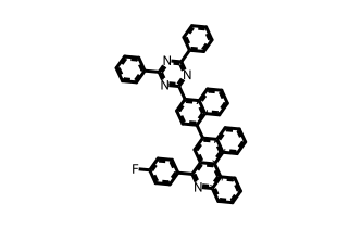 Fc1ccc(-c2nc3ccccc3c3c2cc(-c2ccc(-c4nc(-c5ccccc5)nc(-c5ccccc5)n4)c4ccccc24)c2ccccc23)cc1